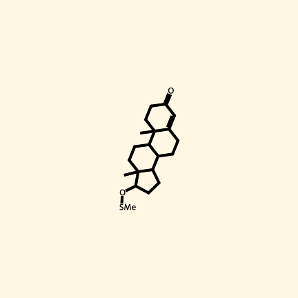 CSOC1CCC2C3CCC4=CC(=O)CCC4(C)C3CCC12C